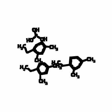 CCc1ccc(C)cc1C.CCc1ccc(C)cc1C.CCc1ccc(C)cc1C.OP(O)O